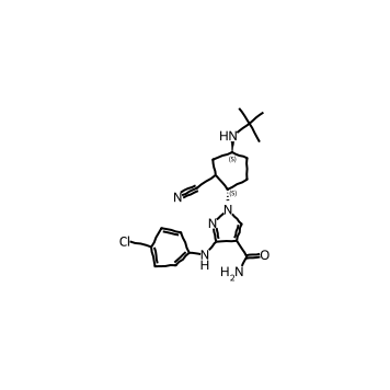 CC(C)(C)N[C@H]1CC[C@H](n2cc(C(N)=O)c(Nc3ccc(Cl)cc3)n2)C(C#N)C1